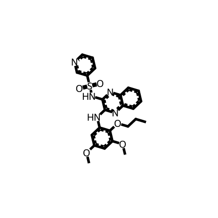 CCCOc1c(Nc2nc3ccccc3nc2NS(=O)(=O)c2cccnc2)cc(OC)cc1OC